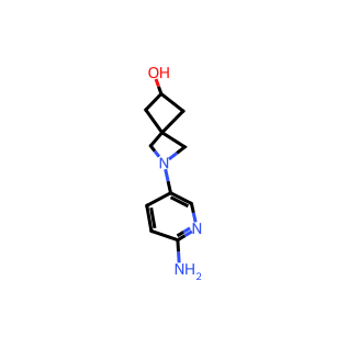 Nc1ccc(N2CC3(CC(O)C3)C2)cn1